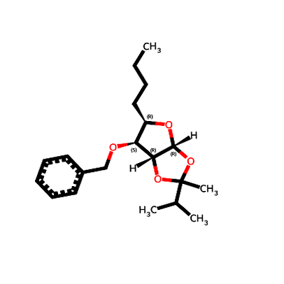 CCCC[C@H]1O[C@@H]2OC(C)(C(C)C)O[C@@H]2[C@H]1OCc1ccccc1